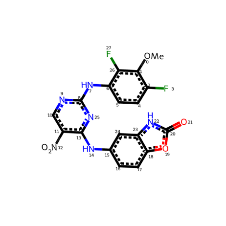 COc1c(F)ccc(Nc2ncc([N+](=O)[O-])c(Nc3ccc4oc(=O)[nH]c4c3)n2)c1F